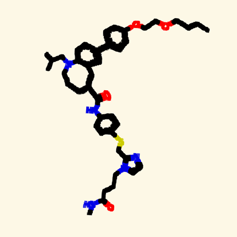 CCCCOCCOc1ccc(-c2ccc3c(c2)C=C(C(=O)Nc2ccc(SCc4nccn4CCCC(=O)NC)cc2)CCCN3CC(C)C)cc1